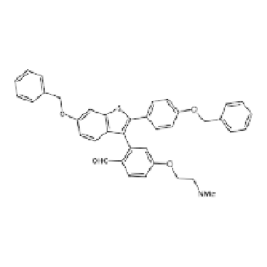 CNCCOc1ccc(C=O)c(-c2c(-c3ccc(OCc4ccccc4)cc3)sc3cc(OCc4ccccc4)ccc23)c1